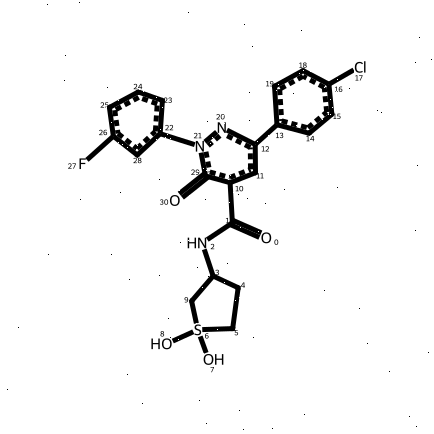 O=C(NC1CCS(O)(O)C1)c1cc(-c2ccc(Cl)cc2)nn(-c2cccc(F)c2)c1=O